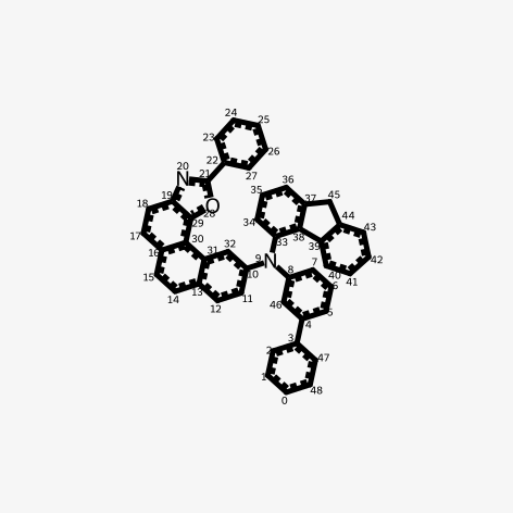 c1ccc(-c2cccc(N(c3ccc4ccc5ccc6nc(-c7ccccc7)oc6c5c4c3)c3cccc4c3-c3ccccc3C4)c2)cc1